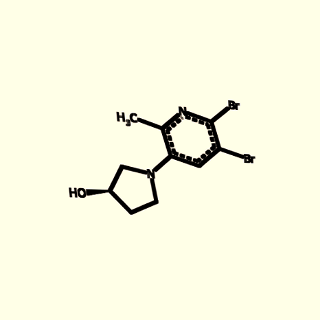 Cc1nc(Br)c(Br)cc1N1CC[C@@H](O)C1